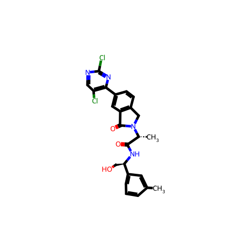 Cc1cccc([C@@H](CO)NC(=O)[C@@H](C)N2Cc3ccc(-c4nc(Cl)ncc4Cl)cc3C2=O)c1